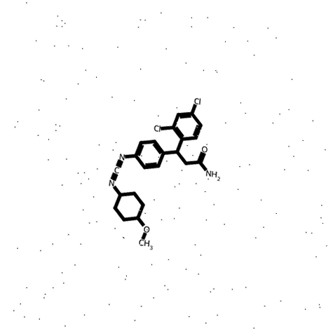 COC1CCC(N=C=Nc2ccc(C(CC(N)=O)c3ccc(Cl)cc3Cl)cc2)CC1